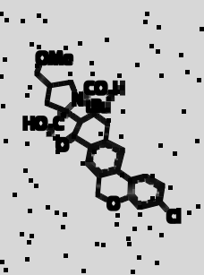 COCC1C[C@@](C(=O)O)(C2CCc3cc4c(cc3C2=O)COc2cc(Cl)ccc2-4)[N+](C(=O)O)(C(C)(C)C)C1